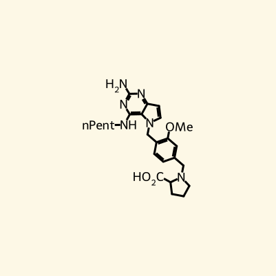 CCCCCNc1nc(N)nc2ccn(Cc3ccc(CN4CCCC4C(=O)O)cc3OC)c12